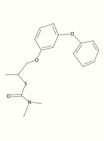 CC(COc1cccc(Oc2ccccc2)c1)SC(=O)N(C)C